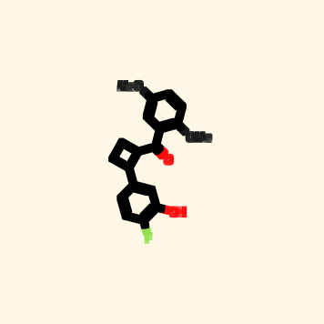 COc1ccc(OC)c(C(=O)C2CCC2c2ccc(F)c(O)c2)c1